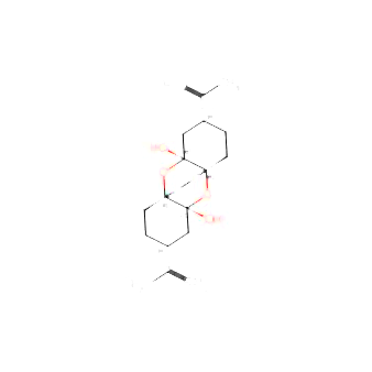 C=C(C)[C@@H]1CC[C@]23CC[C@@]4(CC[C@@H](C(=C)C)C[C@@]4(O)O2)O[C@]3(O)C1